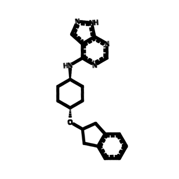 c1ccc2c(c1)CC(O[C@H]1CC[C@H](Nc3ncnc4[nH]ncc34)CC1)C2